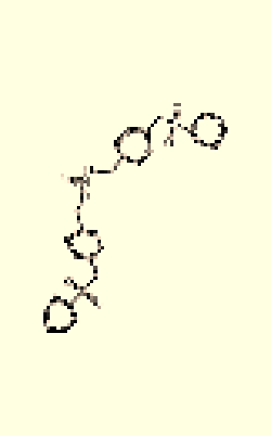 O=[PH](OCc1ccc(CS(=O)(=O)c2ccccc2)cc1)OCc1ccc(CS(=O)(=O)c2ccccc2)cc1